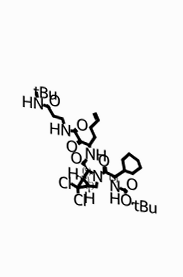 C=CCCC(NC(=O)[C@@H]1[C@H]2[C@@H](CN1C(=O)[C@@H](NC(=O)OC(C)(C)C)C1CCCCC1)C2(Cl)Cl)C(=O)C(=O)NCCC(=O)NC(C)(C)C